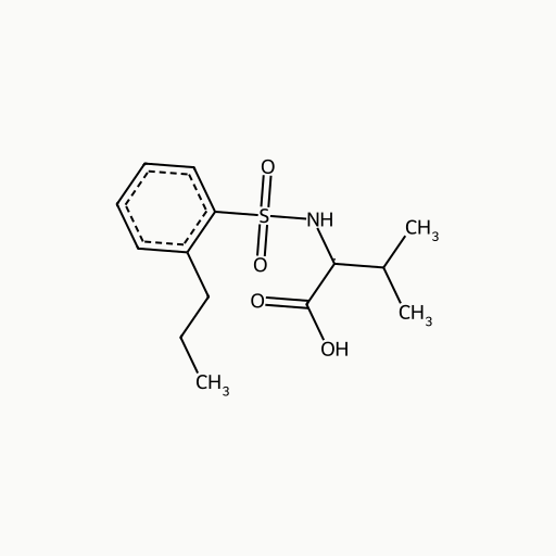 CCCc1ccccc1S(=O)(=O)N[C](C(=O)O)C(C)C